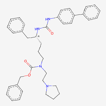 O=C(Nc1ccc(-c2ccccc2)cc1)N[C@H](CCCN(CCN1CCCC1)C(=O)OCc1ccccc1)Cc1ccccc1